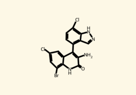 Nc1c(-c2ccc(Cl)c3[nH]ncc23)c2cc(Cl)cc(Br)c2[nH]c1=O